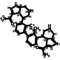 Cc1c(-c2cccc(C3CNCc4nnc(C(N)=O)n43)c2C)cccc1C1CNCc2nnc(C(N)=O)n21